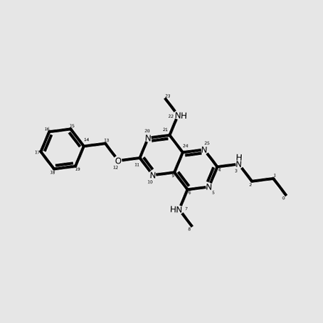 CCCNc1nc(NC)c2nc(OCc3ccccc3)nc(NC)c2n1